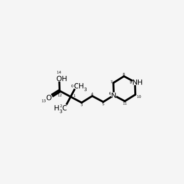 CC(C)(CCCN1CCNCC1)C(=O)O